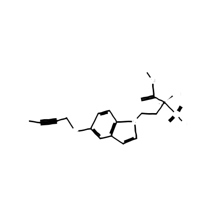 CC#CCOc1ccc2c(ccn2CC[C@](C)(C(=O)NO)S(C)(=O)=O)c1